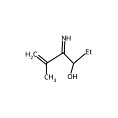 C=C(C)C(=N)C(O)CC